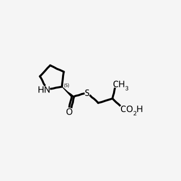 CC(CSC(=O)[C@@H]1CCCN1)C(=O)O